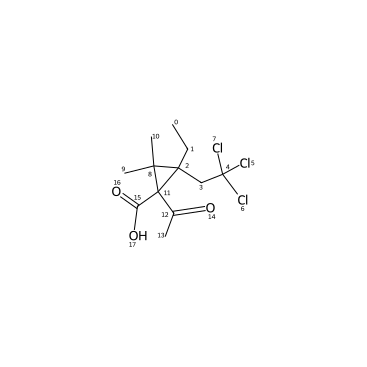 CCC1(CC(Cl)(Cl)Cl)C(C)(C)C1(C(C)=O)C(=O)O